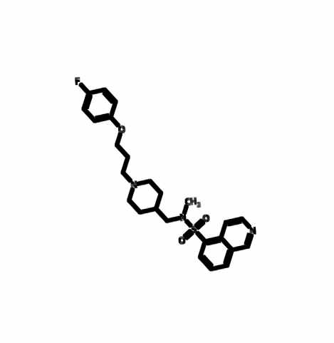 CN(CC1CCN(CCCOc2ccc(F)cc2)CC1)S(=O)(=O)c1cccc2cnccc12